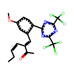 CC/C=C\C(=C/c1cc(OC)ccc1-c1nc(C(Cl)(Cl)Cl)nc(C(Cl)(Cl)Cl)n1)C(C)=O